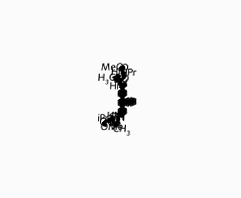 COC(=O)N[C@H](C(=O)N1C[C@@H](C)CC1c1ncc(-c2ccc(-c3ccc(-c4ccc5nc(C6C[C@H](C)CN6C(=O)[C@@H](NC(=O)OC)C(C)C)[nH]c5c4)c4c3CC3(CCCC3)C4)cc2)[nH]1)C(C)C